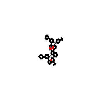 CC(C)(C)c1ccc(N(c2ccc3c(c2)C(C)(C)c2cc(N(c4ccc(C(C)(C)C)cc4)c4ccc(-c5ccccc5)cc4-c4ccccc4)c4ccccc4c2-3)c2ccc(-c3ccccc3)cc2-c2ccccc2)cc1